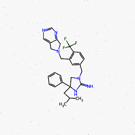 CC(C)CC1(c2ccccc2)CN(Cc2ccc(C(F)(F)F)c(CN3Cc4cncnc4C3)c2)C(=N)N1